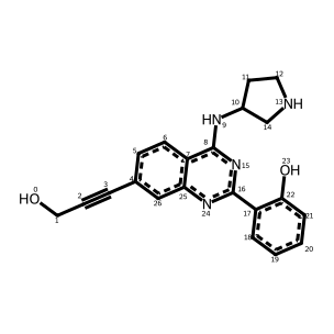 OCC#Cc1ccc2c(NC3CCNC3)nc(-c3ccccc3O)nc2c1